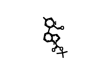 Cc1cnc(C=O)c(-c2cccc3c2ccn3C(=O)OC(C)(C)C)c1